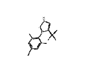 Cc1cc(C)c(N2[C]NC=C2C(C)(C)C)c(C)c1